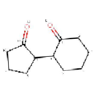 O=C1CCCCC1C1CCCC1=O